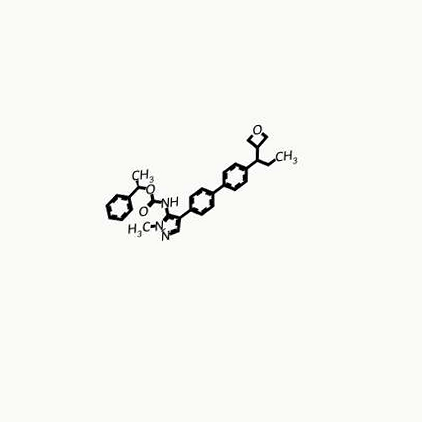 CCC(c1ccc(-c2ccc(-c3cnn(C)c3NC(=O)O[C@H](C)c3ccccc3)cc2)cc1)C1COC1